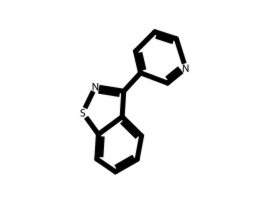 c1cncc(-c2nsc3ccccc23)c1